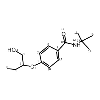 CCC(CO)Oc1ccc(C(=O)NC(C)(C)C)cc1